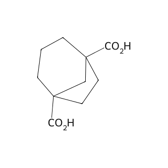 O=C(O)C12CCCC(C(=O)O)(CC1)C2